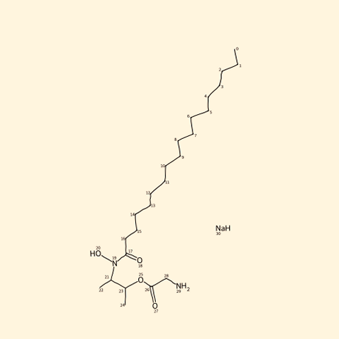 CCCCCCCCCCCCCCCCCC(=O)N(O)C(C)C(C)OC(=O)CN.[NaH]